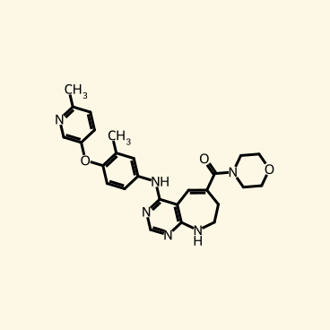 Cc1ccc(Oc2ccc(Nc3ncnc4c3C=C(C(=O)N3CCOCC3)CCN4)cc2C)cn1